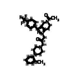 CC(=O)N1CCc2c(c(-c3ccc(C(F)(F)F)cc3)nn2CC(=O)CN2CCN(c3ccccc3C)CC2)C1